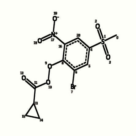 CS(=O)(=O)c1cc(Br)c(OOC(=O)C2CC2)c([N+](=O)[O-])c1